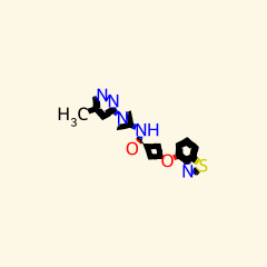 Cc1cnnc(N2CC(NC(=O)[C@H]3C[C@H](Oc4cccc5scnc45)C3)C2)c1